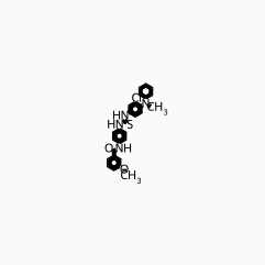 COc1cccc(C(=O)Nc2ccc(NC(=S)Nc3ccc(N(C)C4CCCCC4)c(Cl)c3)cc2)c1